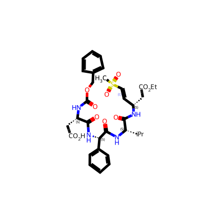 CCOC(=O)C[C@@H](/C=C/S(C)(=O)=O)NC(=O)[C@@H](NC(=O)[C@@H](NC(=O)[C@H](CC(=O)O)NC(=O)OCc1ccccc1)c1ccccc1)C(C)C